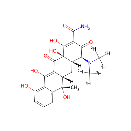 [2H]C([2H])([2H])N([C@@H]1C(=O)C(C(N)=O)=C(O)[C@@]2(O)C(=O)C3=C(O)c4c(O)cccc4[C@@](C)(O)[C@H]3C[C@@H]12)C([2H])([2H])[2H]